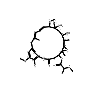 CNC(C)C(=O)OC1CC(=O)Nc2cc(cc(OC)c2Cl)C/C(C)=C/C=C/C(OC)C(N)(O)CC(O)C(C)C2OC12C